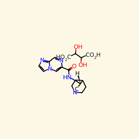 O=C(N[C@H]1CN2CCC1CC2)c1cn2ccnc2cn1.O=C(O)C(O)C(O)C(=O)O